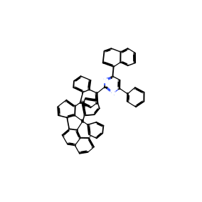 c1ccc(-c2cc(-c3cccc4ccccc34)nc(-c3ccc(-c4cccc5c4C(c4ccccc4)(c4ccccc4)c4c-5ccc5ccccc45)c4ccccc34)n2)cc1